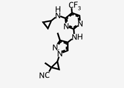 Cc1nn(C2CC2(C)C#N)cc1Nc1ncc(C(F)(F)F)c(NC2CC2)n1